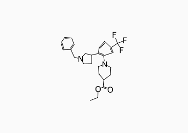 CCOC(=O)C1CCN(c2cc(C(F)(F)F)ccc2C2CCN(Cc3ccccc3)C2)CC1